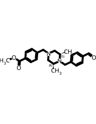 COC(=O)c1ccc(CN2C[C@@H](C)N(Cc3ccc(C=O)cc3)[C@@H](C)C2)cc1